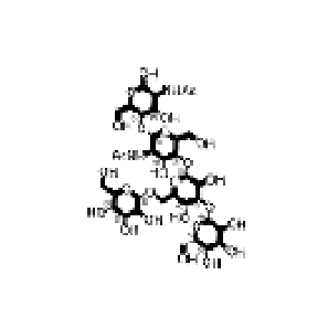 CC(=O)NC1C(O)OC(CO)[C@@H](O[C@@H]2OC(CO)[C@@H](O[C@@H]3OC(CO[C@H]4OC(CO)[C@@H](O)[C@H](O)C4O)[C@@H](O)[C@H](O[C@H]4O[C@@H](CO)[C@@H](O)C(O)C4O)C3O)[C@H](O)C2NC(C)=O)[C@@H]1O